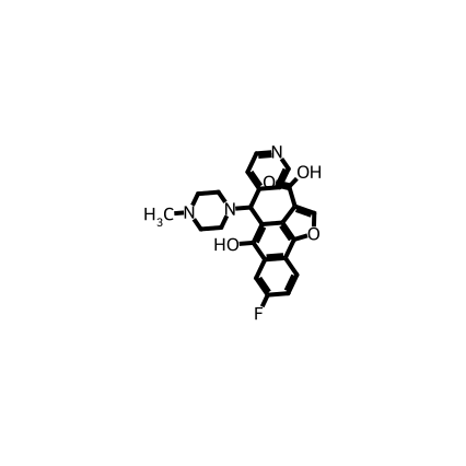 CN1CCN(C(c2ccncc2)c2c(O)c3cc(F)ccc3c3occ(C(=O)O)c23)CC1